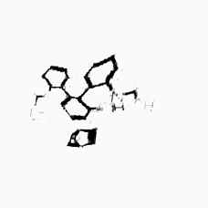 C1=CC2=CC=C1C2.CCNc1ccccc1-c1cccc(C)c1-c1ccccc1NCC